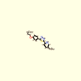 CCCCCCCCCCCCOc1ccc(-c2nnc(-c3ccc(CCCC)cn3)s2)cc1